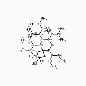 CC(C)(C)N1CC2(C1)P(P(PP)P(P)P)CP(P(P)P(P)P)P(P(P(P)P)P(P)P(P)P)P2P(P(P)P)P(P)P